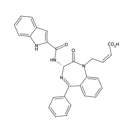 O=C(O)/C=C\CN1C(=O)[C@@H](NC(=O)c2cc3ccccc3[nH]2)N=C(c2ccccc2)c2ccccc21